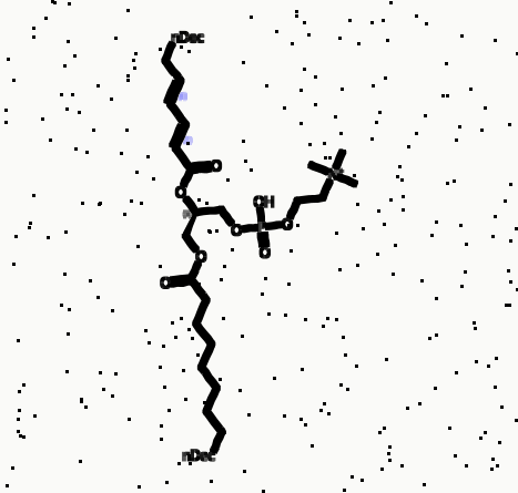 CCCCCCCCCCC/C=C/C=C/C(=O)O[C@H](COC(=O)CCCCCCCCCCCCCCCCC)COP(=O)(O)OCC[N+](C)(C)C